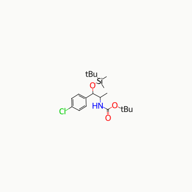 CC(NC(=O)OC(C)(C)C)C(O[Si](C)(C)C(C)(C)C)c1ccc(Cl)cc1